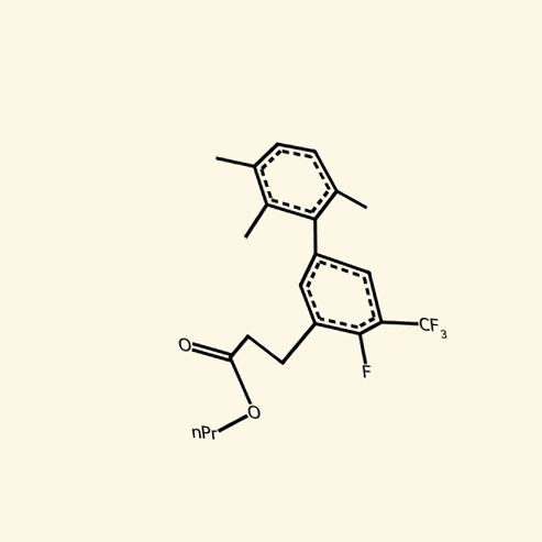 CCCOC(=O)CCc1cc(-c2c(C)ccc(C)c2C)cc(C(F)(F)F)c1F